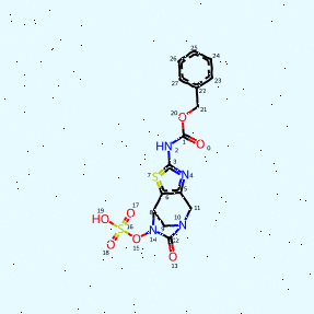 O=C(Nc1nc2c(s1)C1CN(C2)C(=O)N1OS(=O)(=O)O)OCc1ccccc1